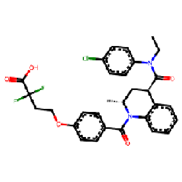 CCN(C(=O)[C@@H]1C[C@@H](C)N(C(=O)c2ccc(OCCC(F)(F)C(=O)O)cc2)c2ccccc21)c1ccc(Cl)cc1